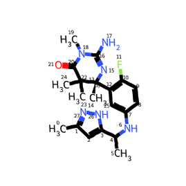 Cc1cc(C(C)Nc2ccc(F)c([C@@]3(C)N=C(N)N(C)C(=O)C3(C)C)c2)[nH]n1